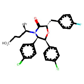 CCC[C@H](CCC(=O)O)N1C(=O)[C@H](Cc2ccc(F)cc2)O[C@@H](c2ccc(Cl)cc2)[C@H]1c1ccc(Cl)cc1